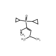 C=N/C(=C\N(C)C)P(=O)(C1CC1)C1CC1